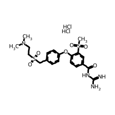 CN(C)CCS(=O)(=O)Cc1ccc(Oc2ccc(C(=O)NC(=N)N)cc2S(C)(=O)=O)cc1.Cl.Cl